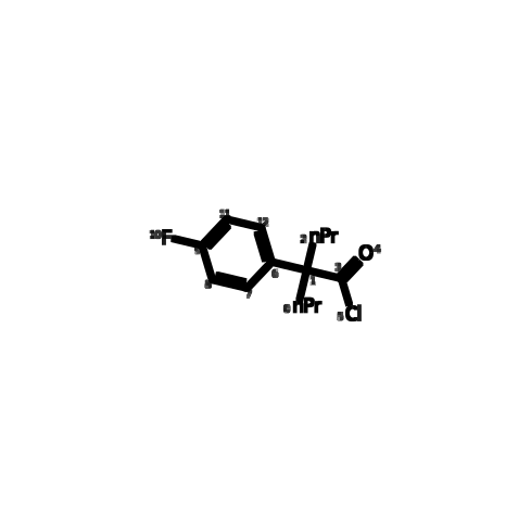 CCCC(CCC)(C(=O)Cl)c1ccc(F)cc1